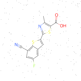 Cc1nc(-c2cc3cc(F)cc(C#N)c3s2)sc1C(=O)O